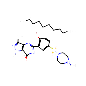 CCCCCCCCCCCCCCCCCCC(=O)O.CCCc1nn(C)c2c(=O)[nH]c(-c3cc(S(=O)(=O)N4CCN(C)CC4)ccc3OCC)nc12